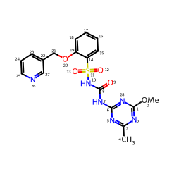 COc1nc(C)nc(NC(=O)NS(=O)(=O)c2ccccc2OCc2cccnc2)n1